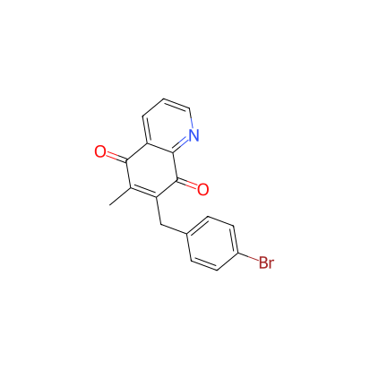 CC1=C(Cc2ccc(Br)cc2)C(=O)c2ncccc2C1=O